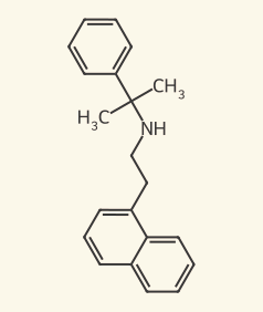 CC(C)(NCCc1cccc2ccccc12)c1ccccc1